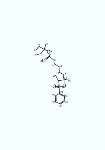 CCC(C)(CC)OC(=O)CCCCCC(C)(CC)OC(=O)c1ccccc1